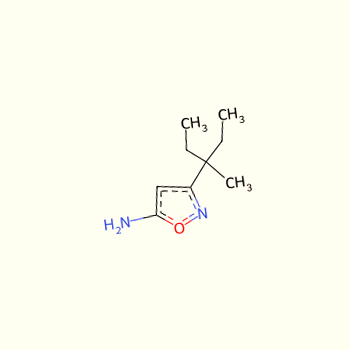 CCC(C)(CC)c1cc(N)on1